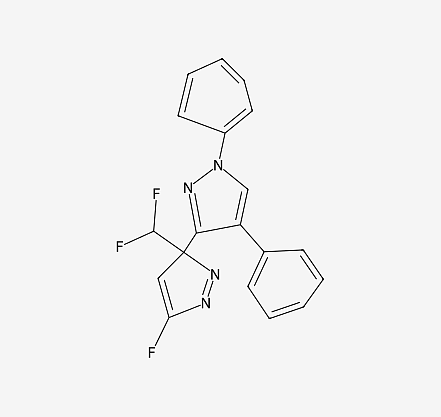 FC1=CC(c2nn(-c3ccccc3)cc2-c2ccccc2)(C(F)F)N=N1